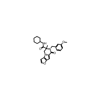 COc1cccc(CN2C(=O)c3cc4occc4n3CC2(C)C(=O)NC2CCCCC2)c1